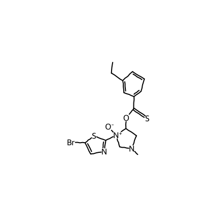 CCc1cccc(C(=S)OC2CN(C)C[N+]2([O-])c2ncc(Br)s2)c1